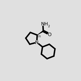 NC(=O)[C@@H]1CCCN1C1CCCCC1